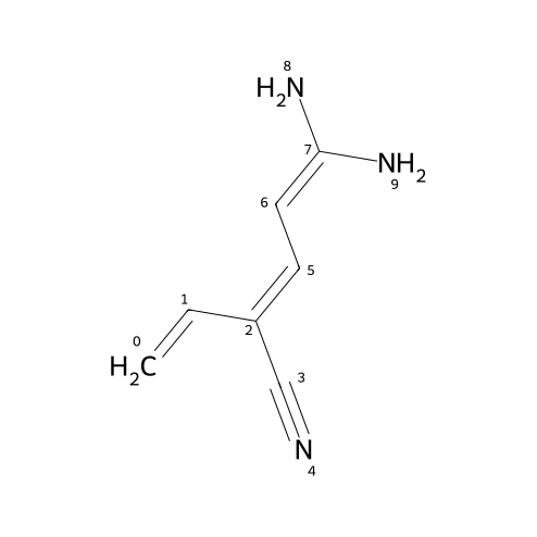 C=C/C(C#N)=C\C=C(N)N